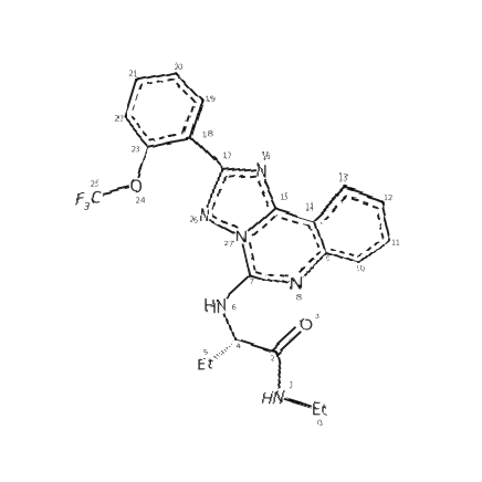 CCNC(=O)[C@H](CC)Nc1nc2ccccc2c2nc(-c3ccccc3OC(F)(F)F)nn12